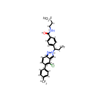 CC(C)CC(c1ccc(C(=O)NCCC(=O)O)cc1)n1cc2c(Cl)c(-c3ccc(C(F)(F)F)cc3)ccc2n1